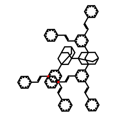 C(=C\c1cc(/C=C/c2ccccc2)cc(C23CC4CC(C2)CC(C25CC6CC(c7cc(/C=C/c8ccccc8)cc(/C=C/c8ccccc8)c7)(CC(c7cc(/C=C/c8ccccc8)cc(/C=C/c8ccccc8)c7)(C6)C2)C5)(C4)C3)c1)/c1ccccc1